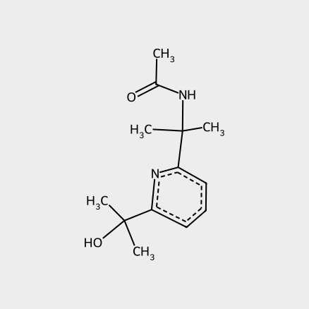 CC(=O)NC(C)(C)c1cccc(C(C)(C)O)n1